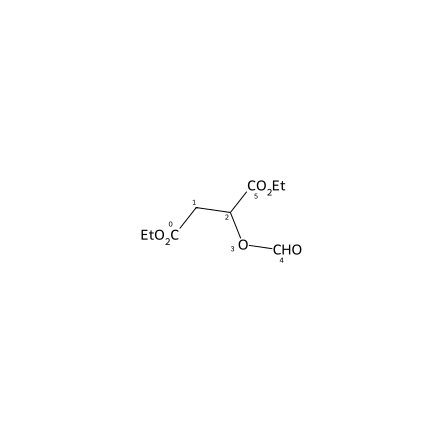 CCOC(=O)CC(OC=O)C(=O)OCC